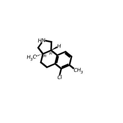 Cc1ccc2c(c1Cl)CC[C@@]1(C)CNC[C@H]21